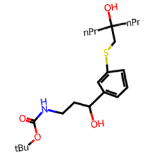 CCCC(O)(CCC)CSc1cccc(C(O)CCNC(=O)OC(C)(C)C)c1